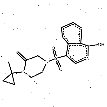 C=C1CN(S(=O)(=O)c2cnc(O)c3ccccc23)CCN1C1(C)CC1